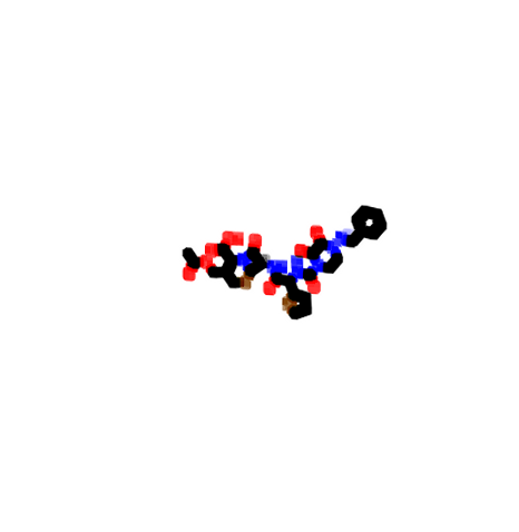 CC(=O)OCC1=C(C(=O)O)N2C(=O)[C@H](NC(=O)C(NC(=O)N3CCN(/N=C/c4ccccc4)C(=O)C3=O)c3cccs3)C2SC1